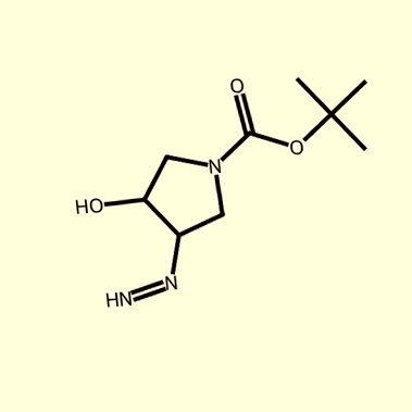 CC(C)(C)OC(=O)N1CC(O)C(N=N)C1